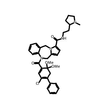 COC1(OC)CC(c2ccccc2)=C(Cl)C=C1C(=O)N1Cc2ccc(C(=O)NCCC3CCCN3C)n2Cc2ccccc21